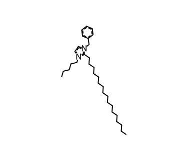 CCCCCCCCCCCCCCCCCc1n(Cc2ccccc2)cc[n+]1CCCCC